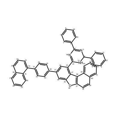 c1ccc(C2=NC(c3ccccc3)NC(c3cc(-c4ccc(-c5cccc6ccccc56)cc4)cc4oc5ccc6ccccc6c5c34)=N2)cc1